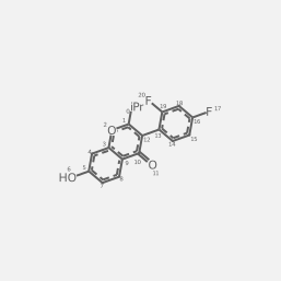 CC(C)c1oc2cc(O)ccc2c(=O)c1-c1ccc(F)cc1F